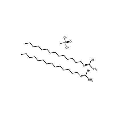 CCCCCCCCCCCCCCN=C(N)S.CCCCCCCCCCCCCCN=C(N)S.CP(=O)(O)O